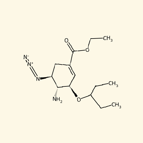 CCOC(=O)C1=C[C@@H](OC(CC)CC)[C@H](N)[C@@H](N=[N+]=[N-])C1